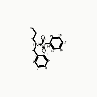 CCCN(Cc1ccccc1)S(=O)(=O)c1ccccc1